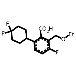 CCOCc1c(F)ccc(C2CCC(F)(F)CC2)c1C(=O)O